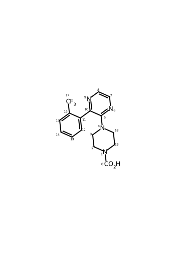 O=C(O)N1CCN(c2nccnc2-c2ccccc2C(F)(F)F)CC1